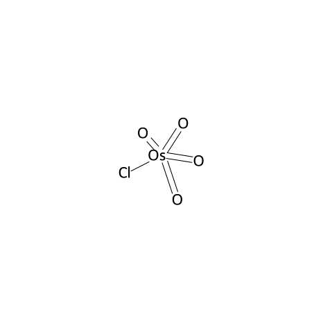 [O]=[Os](=[O])(=[O])(=[O])[Cl]